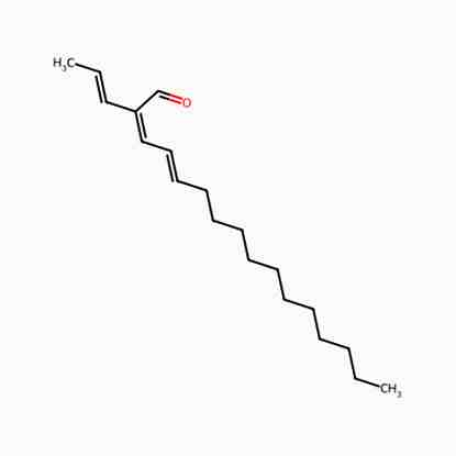 CC=CC(C=O)=CC=CCCCCCCCCCCC